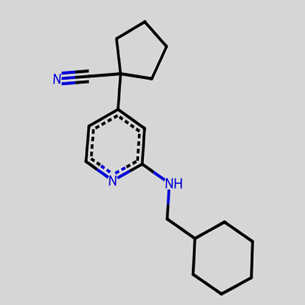 N#CC1(c2ccnc(NCC3CCCCC3)c2)CCCC1